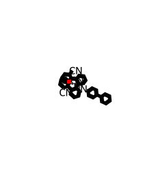 N#Cc1cccc(C#N)c1-c1cccc2c1c1c(-c3c(C#N)cccc3C#N)cccc1n2-c1ccc(-c2ccccc2)cc1